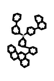 c1ccc(-c2cccc(N(c3ccc(-c4cccc5ccccc45)cc3)c3cccc(-c4ccccc4-c4cc5c6ccccc6ccc5c5ccccc45)c3)c2)cc1